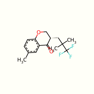 Cc1ccc2c(c1)C(=O)[C@@H](CC(C)(C)C(F)(F)F)CO2